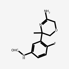 CC1(c2cc(NC=O)ccc2F)COCC(N)=N1